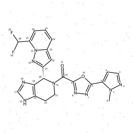 Cn1nccc1-c1nnc(C(=O)N2CCc3[nH]cnc3[C@@H]2c2cc3cccc(C(F)F)n3n2)o1